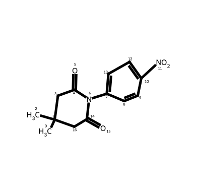 CC1(C)CC(=O)N(c2ccc([N+](=O)[O-])cc2)C(=O)C1